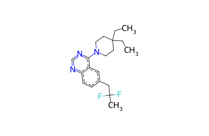 CCC1(CC)CCN(c2ncnc3ccc(CC(C)(F)F)cc23)CC1